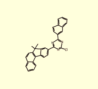 CC1(C)c2cc(-c3nc(Cl)nc(-c4ccc5ccccc5c4)n3)ccc2-c2c1ccc1ccccc21